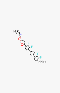 C/C=C/COC1CCC(c2ccc(-c3ccc(-c4ccc(CCCCCC)c(F)c4F)cc3)c(F)c2F)OC1